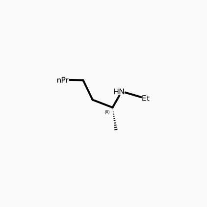 CCCCC[C@@H](C)NCC